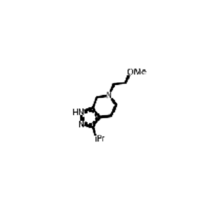 COCCN1CCc2c(C(C)C)n[nH]c2C1